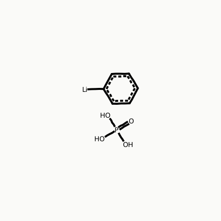 O=P(O)(O)O.[Li][c]1ccccc1